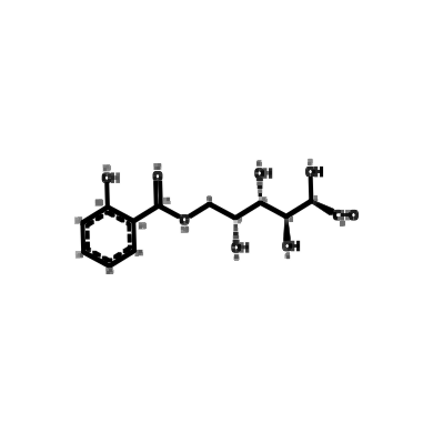 O=C[C@H](O)[C@@H](O)[C@@H](O)[C@H](O)COC(=O)c1ccccc1O